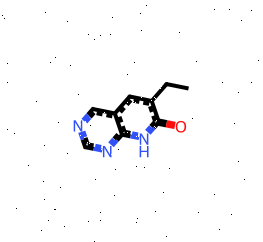 CCc1cc2cncnc2[nH]c1=O